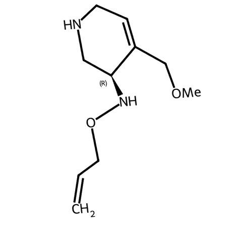 C=CCON[C@H]1CNCC=C1COC